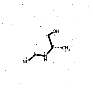 C[C@@H](CO)NCC#N